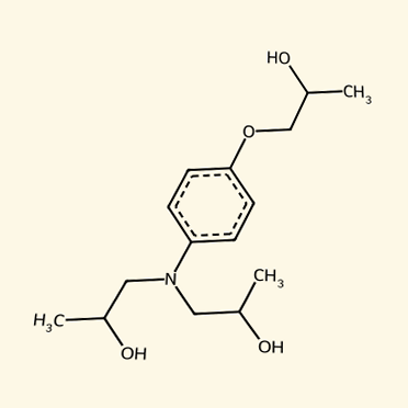 CC(O)COc1ccc(N(CC(C)O)CC(C)O)cc1